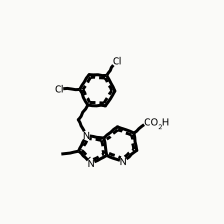 Cc1nc2ncc(C(=O)O)cc2n1Cc1ccc(Cl)cc1Cl